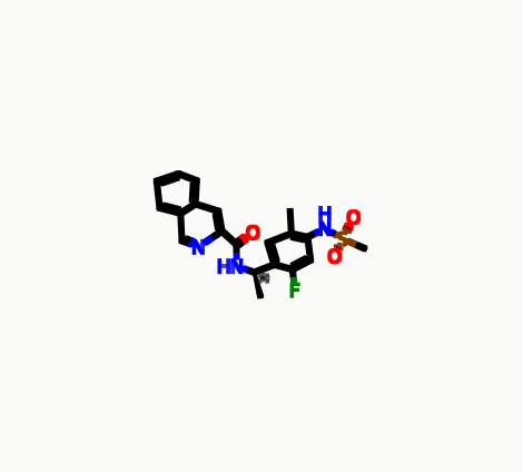 Cc1cc([C@@H](C)NC(=O)c2cc3ccccc3cn2)c(F)cc1NS(C)(=O)=O